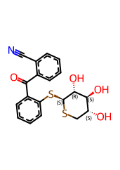 N#Cc1ccccc1C(=O)c1ccccc1S[C@@H]1SC[C@@H](O)[C@H](O)[C@H]1O